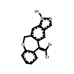 CCC(Br)=C1c2cc3cnn(C(C)C)c3cc2COc2ccccc21